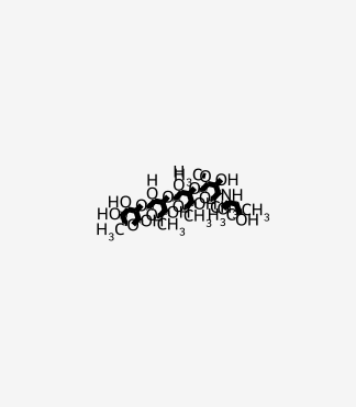 COC1C(O)[C@H](NC(=O)CC(C)(C)O)C(C)O[C@H]1OC1C(O)[C@H](OC2C(O)[C@H](OC3C(O)[C@@H](O)C(C)O[C@H]3O)OC(C)[C@@H]2O)OC(C)[C@@H]1O